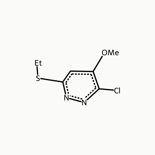 CCSc1cc(OC)c(Cl)nn1